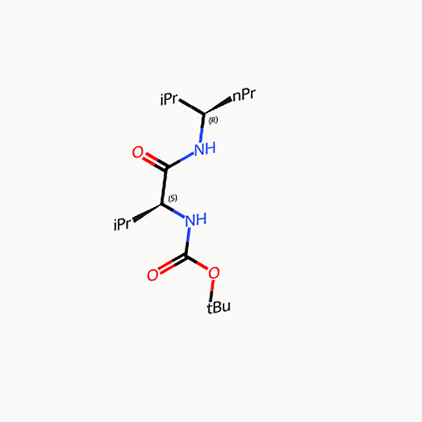 CCC[C@@H](NC(=O)[C@@H](NC(=O)OC(C)(C)C)C(C)C)C(C)C